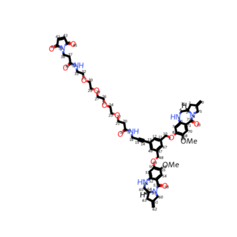 C=C1C[C@H]2CNc3cc(OCc4cc(C#CCNC(=O)CCOCCOCCOCCOCCNC(=O)CCN5C(=O)C=CC5=O)cc(COc5cc6c(cc5OC)C(=O)N5CC(=C)C[C@H]5CN6)c4)c(OC)cc3C(=O)N2C1